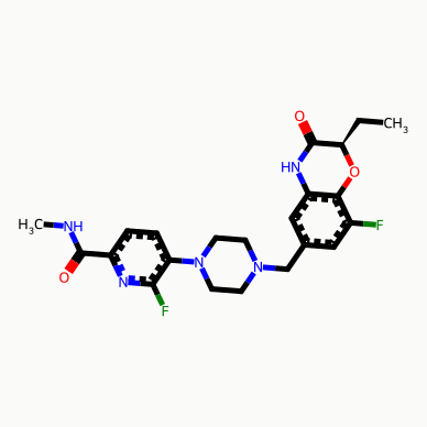 CC[C@H]1Oc2c(F)cc(CN3CCN(c4ccc(C(=O)NC)nc4F)CC3)cc2NC1=O